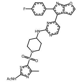 CC(=O)Nc1nc(C)c(S(=O)(=O)N2CCC(Nc3nccc(-c4c(-c5ccc(F)cc5)nc5occn45)n3)CC2)s1